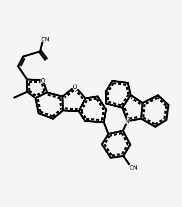 C=C(C#N)/C=C\c1oc2c(ccc3c4cc(-c5ccc(C#N)cc5-n5c6ccccc6c6ccccc65)ccc4oc32)c1C